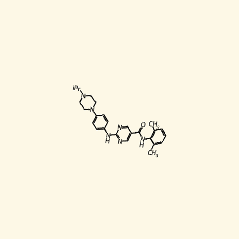 Cc1cccc(C)c1NC(=O)c1cnc(Nc2ccc(N3CCN(C(C)C)CC3)cc2)nc1